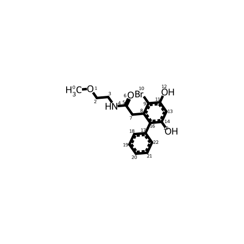 COCCNC(=O)Cc1c(Br)c(O)cc(O)c1-c1ccccc1